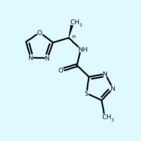 Cc1nnc(C(=O)N[C@H](C)c2nnco2)s1